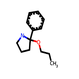 CCCOC1(c2ccccc2)CCC[N]1